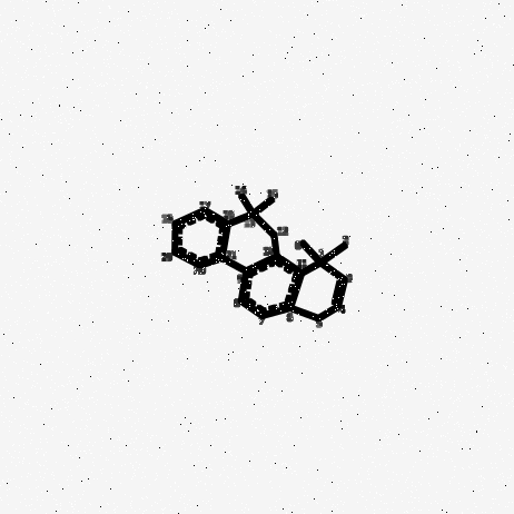 CC1(C)C=CCc2ccc3c(c21)CC(C)(C)c1ccccc1-3